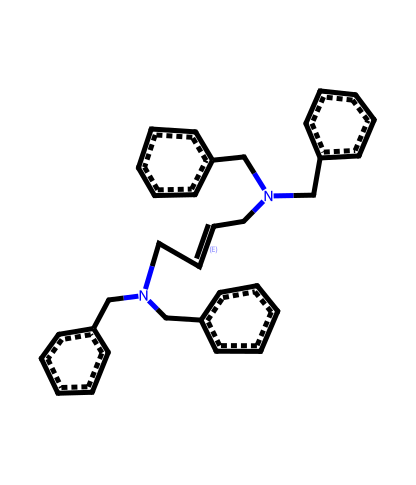 C(=C\CN(Cc1ccccc1)Cc1ccccc1)/CN(Cc1ccccc1)Cc1ccccc1